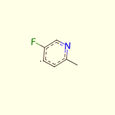 Cc1c[c]c(F)cn1